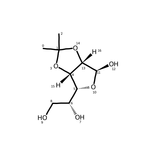 CC1(C)O[C@H]2[C@@H]([C@H](O)CO)O[C@H](O)[C@H]2O1